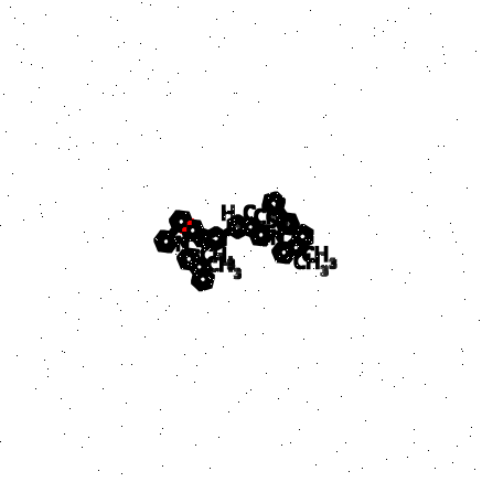 CC1(C)c2ccccc2-c2ccc(N(c3ccccc3-c3ccccc3)c3cccc4c3sc3ccc(-c5ccc6c(c5)-c5ccc(N(c7cccc8c7-c7ccccc7C8(C)C)c7cccc8c7sc7ccccc78)cc5C6(C)C)cc34)cc21